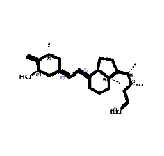 C=C1[C@H](C)C/C(=C\C=C2/CCC[C@@]3(C)C2CCC3[C@H](C)[C@H](C)CCC(C)(C)C)C[C@H]1O